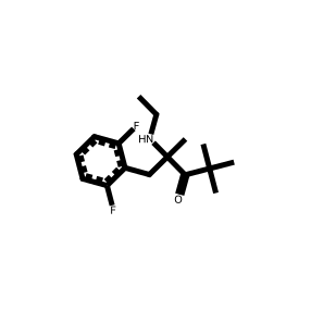 CCNC(C)(Cc1c(F)cccc1F)C(=O)C(C)(C)C